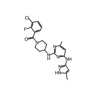 Cc1cc(Nc2cc(C)[nH]n2)nc(NC2CCN(C(=O)c3cccc(Cl)c3F)CC2)n1